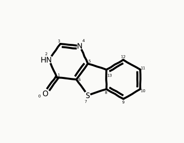 O=c1[nH]cnc2c1sc1ccccc12